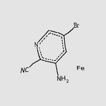 N#Cc1ncc(Br)cc1N.[Fe]